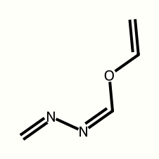 C=CO/C=N\N=C